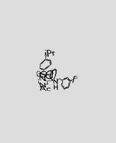 CC(=O)N1CCN(S(=O)(=O)c2ccc(C(C)C)cc2)C(C(=O)NCc2cccc(F)c2)C1